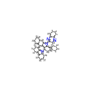 c1ccc(-c2nc3ccccc3nc2-n2c3cc4ccccc4cc3c3c(-n4c5ccccc5c5ccccc54)cccc32)cc1